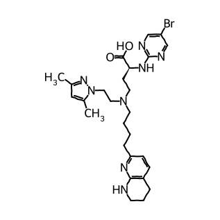 Cc1cc(C)n(CCN(CCCCc2ccc3c(n2)NCCC3)CC[C@H](Nc2ncc(Br)cn2)C(=O)O)n1